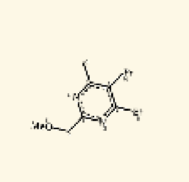 CCc1nc(COC)nc(C)c1C(C)C